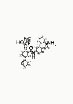 N[C@@]1(c2ccccc2)C[C@H]1c1ccc(NC(=O)c2cccc(-c3ccccc3)c2)cc1.O=C(O)C(F)(F)F